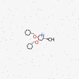 C#Cc1cc(OCc2ccccc2)c(OCc2ccccc2)cn1